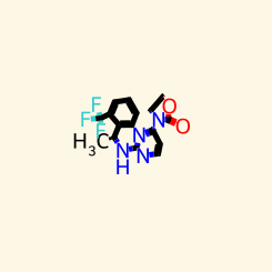 C[C@H](Nc1nccc(N2CCOC2=O)n1)c1ccccc1C(F)(F)F